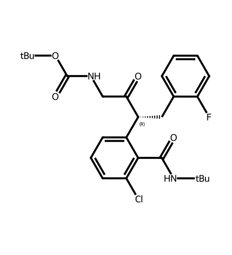 CC(C)(C)NC(=O)c1c(Cl)cccc1[C@@H](Cc1ccccc1F)C(=O)CNC(=O)OC(C)(C)C